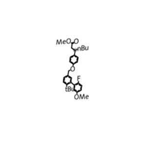 CCCC[C@H](CC(=O)OC)c1ccc(OCc2ccc(C(C)(C)C)c(-c3cc(OC)ccc3F)c2)cc1